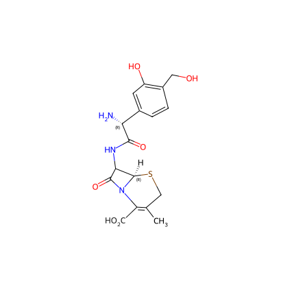 CC1=C(C(=O)O)N2C(=O)C(NC(=O)[C@H](N)c3ccc(CO)c(O)c3)[C@H]2SC1